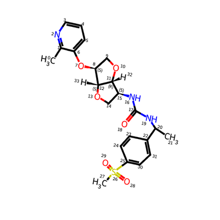 Cc1ncccc1O[C@H]1CO[C@H]2[C@@H]1OC[C@@H]2NC(=O)NC(C)c1ccc(S(C)(=O)=O)cc1